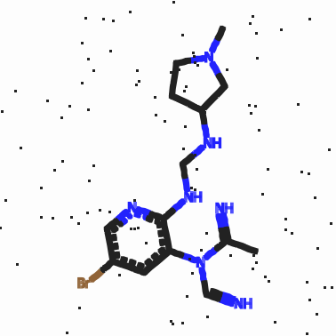 CC(=N)N(C=N)c1cc(Br)cnc1NCNC1CCN(C)C1